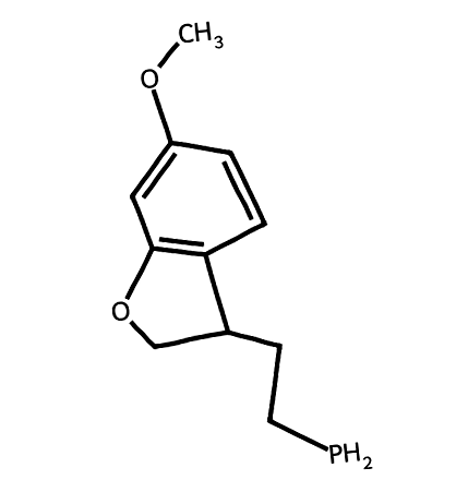 COc1ccc2c(c1)OCC2CCP